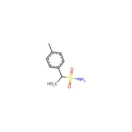 Cc1ccc(C(C(=O)O)S(N)(=O)=O)cc1